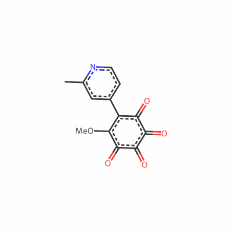 COc1c(-c2ccnc(C)c2)c(=O)c(=O)c(=O)c1=O